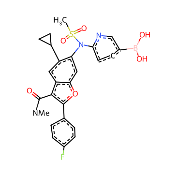 CNC(=O)c1c(-c2ccc(F)cc2)oc2cc(N(c3ccc(B(O)O)cn3)S(C)(=O)=O)c(C3CC3)cc12